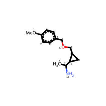 COc1ccc(COCC2CC2C(C)N)cc1